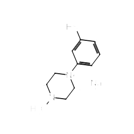 CN1CCN(c2cccc(S)c2)CC1.[Na]